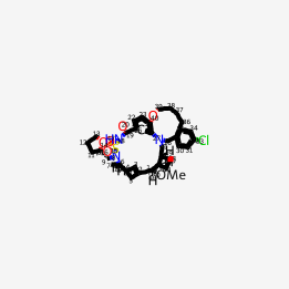 CO[C@H]1C2=C[C@H](C2)[C@H](C)N(C[C@@H]2CCCO2)S(=O)(=O)NC(=O)c2ccc3c(c2)N(Cc2ccc(Cl)cc2CCCCO3)C[C@@H]2CC[C@H]21